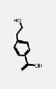 C=C(O)c1ccc(CCO)cc1